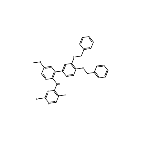 COc1ccc(Nc2nc(Cl)ncc2F)c(-c2ccc(OCc3ccccc3)c(OCc3ccccc3)c2)c1